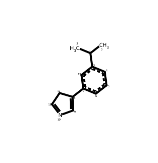 CC(C)c1cccc(C2=CN=CC2)c1